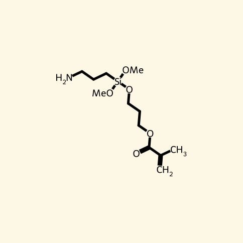 C=C(C)C(=O)OCCCO[Si](CCCN)(OC)OC